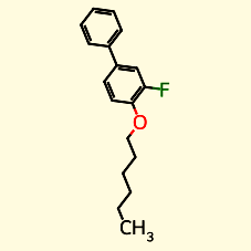 CCCCCCOc1ccc(-c2ccccc2)cc1F